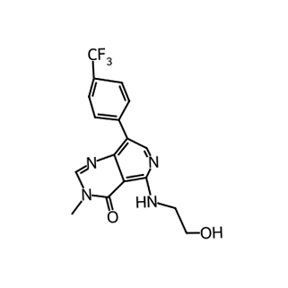 Cn1cnc2c(-c3ccc(C(F)(F)F)cc3)cnc(NCCO)c2c1=O